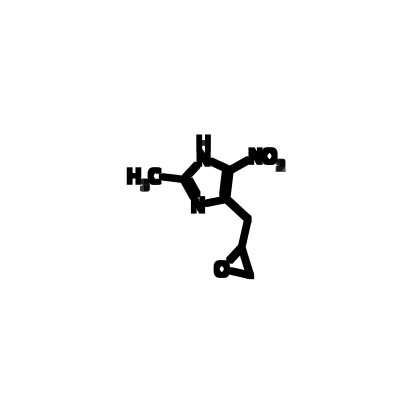 Cc1nc(CC2CO2)c([N+](=O)[O-])[nH]1